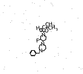 CC(C)(C)OC(=O)N1CCC(N2CCCN(Cc3ccccc3)CC2)C(F)C1